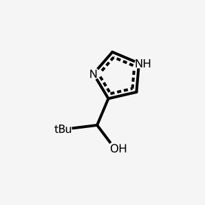 CC(C)(C)C(O)c1c[nH]cn1